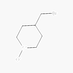 [O-][S+]1CCC(CBr)CC1